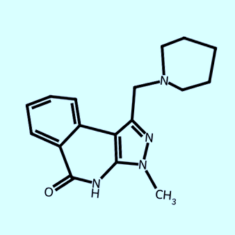 Cn1nc(CN2CCCCC2)c2c3ccccc3c(=O)[nH]c21